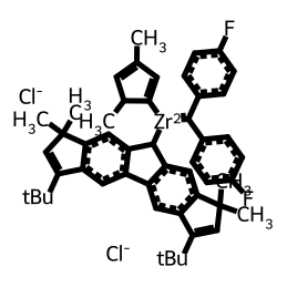 CC1=CC(C)[C]([Zr+2](=[C](c2ccc(F)cc2)c2ccc(F)cc2)[CH]2c3cc4c(cc3-c3cc5c(cc32)C(C)(C)C=C5C(C)(C)C)C(C(C)(C)C)=CC4(C)C)=C1.[Cl-].[Cl-]